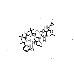 CCC[C@H](NC(=O)[C@@H]1C2NCC[C@H]2CN1C(=O)[C@@H](NC(=O)[C@@H](NC(=O)c1cccc(=O)[nH]1)C(C)(C)C)C(C)(C)C)C(=O)C(=O)NC1CC1